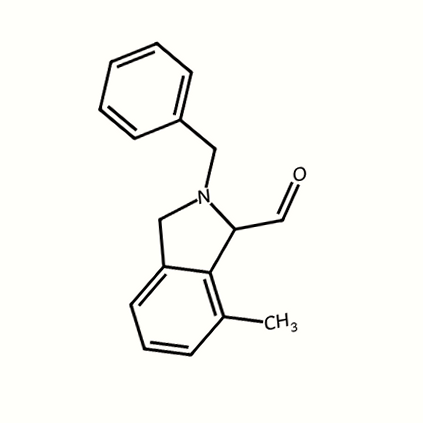 Cc1cccc2c1C(C=O)N(Cc1ccccc1)C2